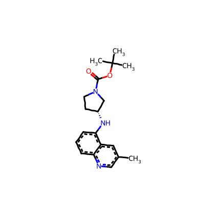 Cc1cnc2cccc(N[C@@H]3CCN(C(=O)OC(C)(C)C)C3)c2c1